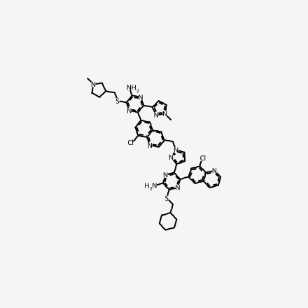 CN1CCC(CSc2nc(-c3cc(Cl)c4ncc(Cn5ccc(-c6nc(N)c(SCC7CCCCC7)nc6-c6cc(Cl)c7ncccc7c6)n5)cc4c3)c(-c3ccn(C)n3)nc2N)C1